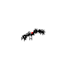 O=C(COc1ccc(F)c(F)c1)NC12CC(n3cnc([C@H]4C[C@H](OC(F)(F)F)C4)c3)(C1)C2